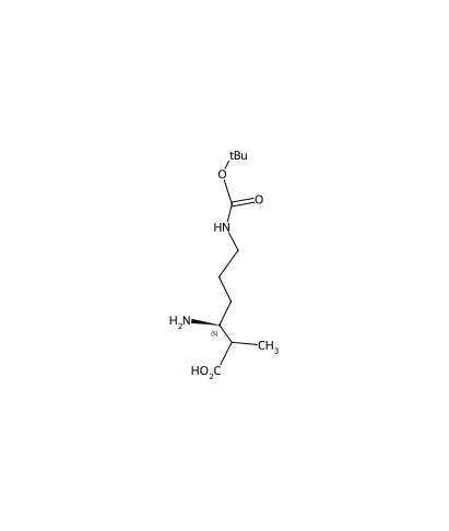 CC(C(=O)O)[C@@H](N)CCCNC(=O)OC(C)(C)C